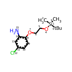 CC(C)(C)[Si](C)(C)OCCOc1ccc(Cl)cc1N